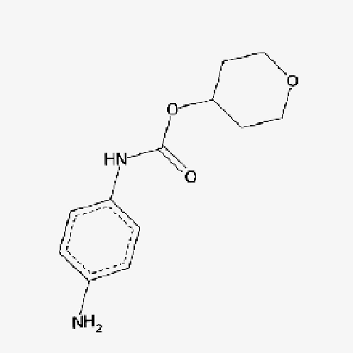 Nc1ccc(NC(=O)OC2CCOCC2)cc1